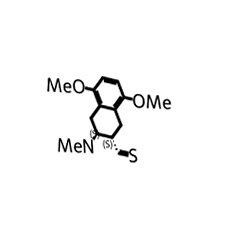 CN[C@H]1Cc2c(OC)ccc(OC)c2C[C@@H]1C=S